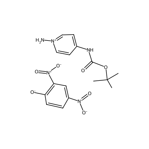 CC(C)(C)OC(=O)Nc1cc[n+](N)cc1.O=[N+]([O-])c1ccc([O-])c([N+](=O)[O-])c1